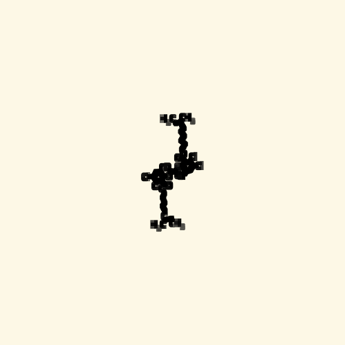 CCC(C)CCCCCCOC(=O)c1c(Cl)c(Cl)cc(Cl)c1OC(=O)C(=O)Oc1c(Cl)cc(Cl)c(Cl)c1C(=O)OCCCCCCC(C)CC